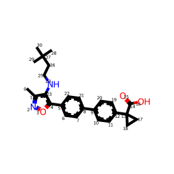 Cc1noc(-c2ccc(-c3ccc(C4(C(=O)O)CC4)cc3)cc2)c1NCCC(C)(C)C